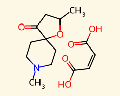 CC1CC(=O)C2(CCN(C)CC2)O1.O=C(O)/C=C\C(=O)O